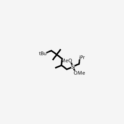 CO[Si](CC(C)C)(CC(C)CC(C)(C)CC(C)(C)C)OC